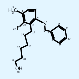 Cc1ccc(SCc2ccccc2)c(CCCCCCO)c1F